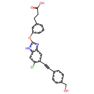 O=C(O)CCc1cccc(Oc2nc3cc(C#Cc4ccc(CO)cc4)c(Cl)cc3[nH]2)c1